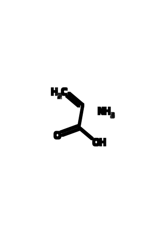 C=CC(=O)O.N